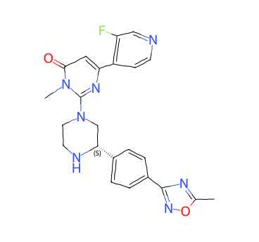 Cc1nc(-c2ccc([C@H]3CN(c4nc(-c5ccncc5F)cc(=O)n4C)CCN3)cc2)no1